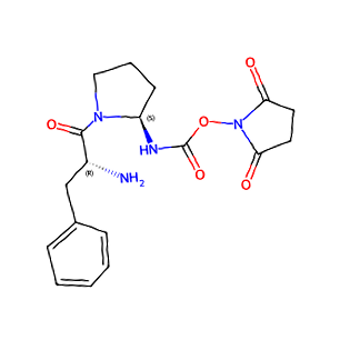 N[C@H](Cc1ccccc1)C(=O)N1CCC[C@H]1NC(=O)ON1C(=O)CCC1=O